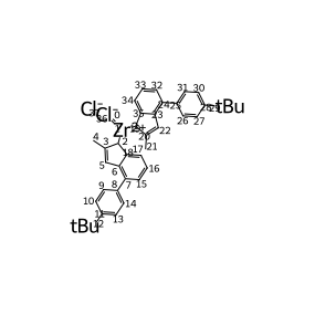 [CH2]=[Zr+2]([CH]1C(C)=Cc2c(-c3ccc(C(C)(C)C)cc3)cccc21)[CH]1C(C)=Cc2c(-c3ccc(C(C)(C)C)cc3)cccc21.[Cl-].[Cl-]